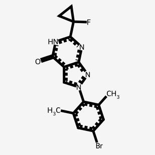 Cc1cc(Br)cc(C)c1-n1cc2c(=O)[nH]c(C3(F)CC3)nc2n1